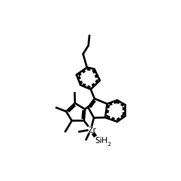 CCCc1ccc(C2=C[CH]([Zr]([CH3])([CH3])(=[SiH2])[C]3=C(C)C(C)=C(C)C3C)c3ccccc32)cc1